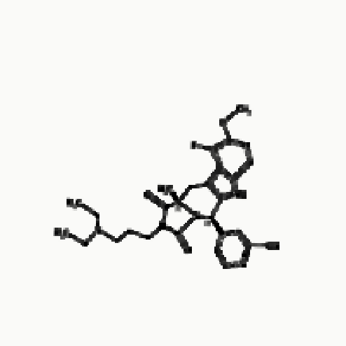 CCN(CC)CCCN1C(=O)N2[C@H](c3cccc(O)c3)c3[nH]c4ccc(OC)c(F)c4c3C[C@@]2(C)C1=O